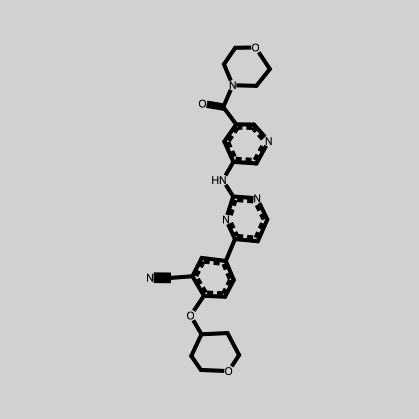 N#Cc1cc(-c2ccnc(Nc3cncc(C(=O)N4CCOCC4)c3)n2)ccc1OC1CCOCC1